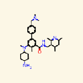 CC1=NC(C)CC(C)C1CNC(=O)c1cc(-c2ccc(CN(C)C)cc2)cc(N(C)[C@H]2CC[C@H](N)CC2)c1C